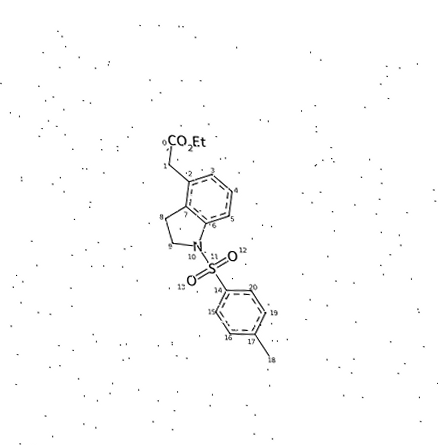 CCOC(=O)Cc1cccc2c1CCN2S(=O)(=O)c1ccc(C)cc1